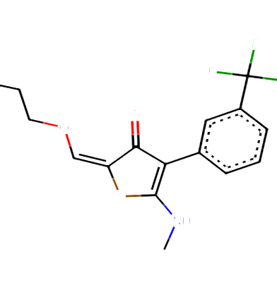 CCCO/C=C1/SC(NC)=C(c2cccc(C(F)(F)F)c2)C1=O